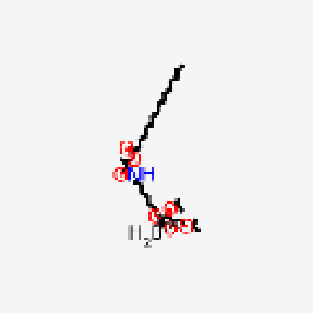 B[C@@H]1O[C@H](COC(C)C)C(OC(C)C)[C@@H]1OCCCCCCNC(=O)C(C)OC(=O)CCCCCCCCCCCCCCC